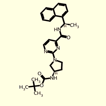 C[C@@H](NC(=O)c1ccnc(N2CC[C@@H](NC(=O)OC(C)(C)C)C2)n1)c1cccc2ccccc12